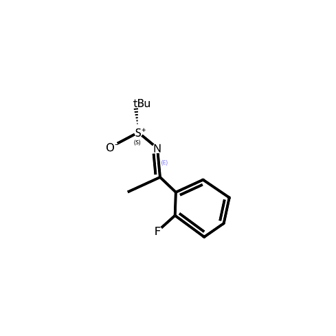 C/C(=N\[S@+]([O-])C(C)(C)C)c1ccccc1F